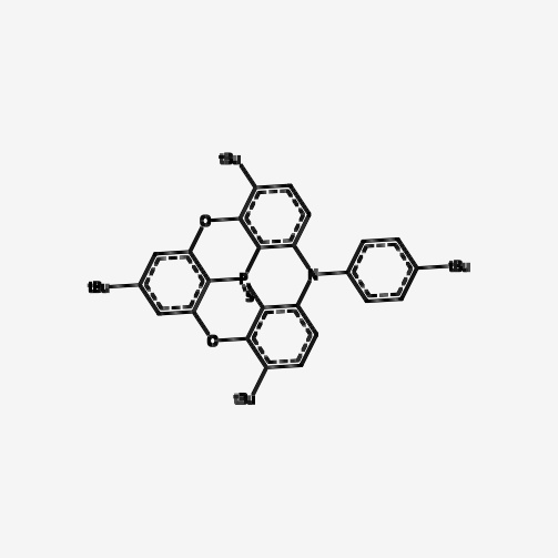 CC(C)(C)c1ccc(N2c3ccc(C(C)(C)C)c4c3P3(=S)c5c(cc(C(C)(C)C)cc5Oc5c(C(C)(C)C)ccc2c53)O4)cc1